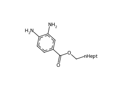 CCCCCCCCOC(=O)c1ccc(N)c(N)c1